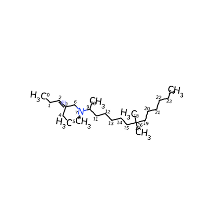 CC/C=C(\CC)CN(C)C(C)CCCCCC(C)(C)CCCCCC